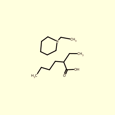 CCCCC(CC)C(=O)O.CCN1CCCCC1